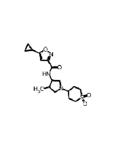 CC1CN(C2CCS(=O)(=O)CC2)CC1NC(=O)c1cc(C2CC2)on1